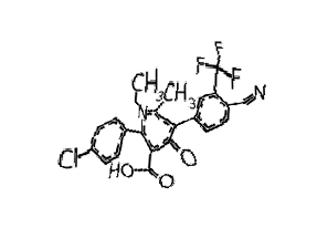 CCn1c(C)c(-c2ccc(C#N)c(C(F)(F)F)c2)c(=O)c(C(=O)O)c1-c1ccc(Cl)cc1